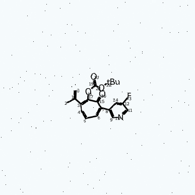 C=C(C)c1cccc(-c2cncc(F)c2)c(=O)c1OC(=O)OC(C)(C)C